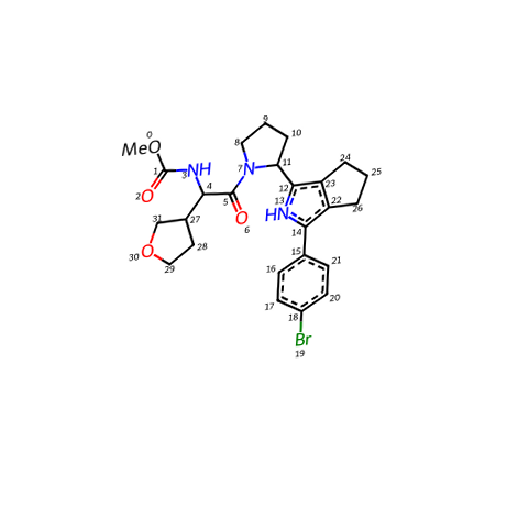 COC(=O)NC(C(=O)N1CCCC1c1[nH]c(-c2ccc(Br)cc2)c2c1CCC2)C1CCOC1